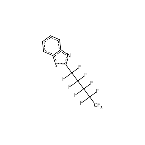 FC(F)(F)C(F)(F)C(F)(F)C(F)(F)C(F)(F)c1nc2ccccc2s1